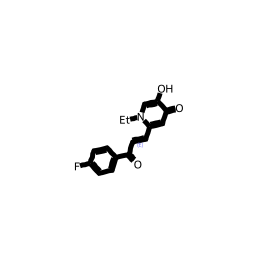 CCn1cc(O)c(=O)cc1/C=C/C(=O)c1ccc(F)cc1